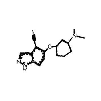 CN(C)[C@H]1CCC[C@@H](Oc2ccc3[nH]ncc3c2C#N)C1